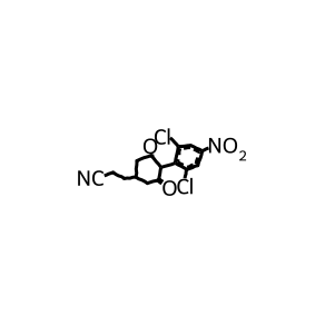 N#CCCC1CC(=O)C(c2c(Cl)cc([N+](=O)[O-])cc2Cl)C(=O)C1